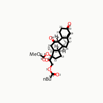 CCCCC(=O)OCC(=O)[C@@]1(OC(=O)OC)CC[C@H]2[C@@H]3CCC4=CC(=O)CC[C@]4(C)[C@H]3C(=O)C[C@@]21C